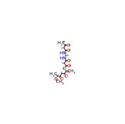 COC(C)C(=O)CC(=O)C(C)OC(=O)CC(=O)NCNC(=O)CC(C)=O